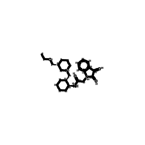 CCOC[C@@H]1CCCN(C[C@H]2CCCC[C@@H]2NC(=O)CN2C(=O)C(=O)c3ccccc32)C1